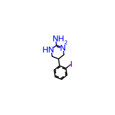 NC1=NCC(c2ccccc2I)CN1